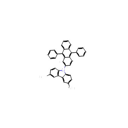 CCCc1ccc2c(c1)c1cc(CCC)ccc1n2-c1ccc2c(-c3ccccc3)c3ccccc3c(-c3ccccc3)c2c1